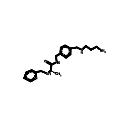 C[C@H](NCc1ccccn1)C(=O)NCc1ccc(CNCCCN)cc1